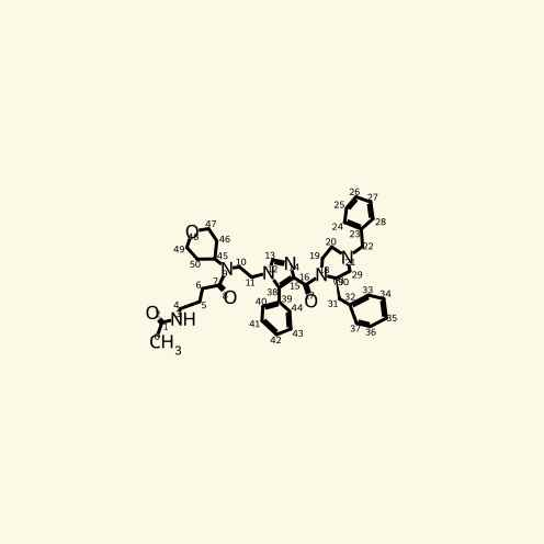 CC(=O)NCCCC(=O)N(CCn1cnc(C(=O)N2CCN(Cc3ccccc3)C[C@H]2Cc2ccccc2)c1-c1ccccc1)C1CCOCC1